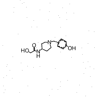 O=C(CO)NC1CCN(Cc2ccc(O)cc2)CC1